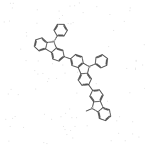 Cn1c2ccccc2c2ccc(-c3ccc4c5cc(-c6ccc7c8ccccc8n(-c8ccccc8)c7c6)ccc5n(-c5ccccc5)c4c3)cc21